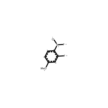 COc1ccc(N(F)Cl)c(F)c1